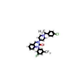 CC(c1ccc(Cl)cc1)N1CCC(N(Cc2ccccc2)C(=O)Nc2cc(F)cc(C(F)(F)F)c2)CC1